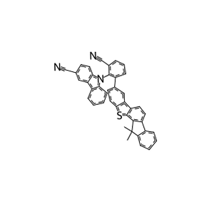 CC1(C)c2ccccc2-c2ccc3c(sc4ccc(-c5cccc(C#N)c5-n5c6ccccc6c6cc(C#N)ccc65)cc43)c21